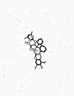 Cc1cc(C)nc(OC(C(=O)O)C2(c3ccccc3)NCC(=O)N(Cc3ccc(F)c(F)c3F)c3ccccc32)n1